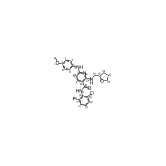 COc1ccc(Nc2ncc(C(=O)Nc3c(F)cccc3Cl)c(NCC3CCCO3)n2)cc1